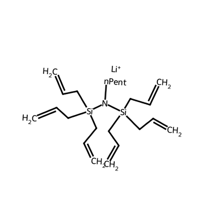 C=CC[Si](CC=C)(CC=C)N(CCCCC)[Si](CC=C)(CC=C)CC=C.[Li+]